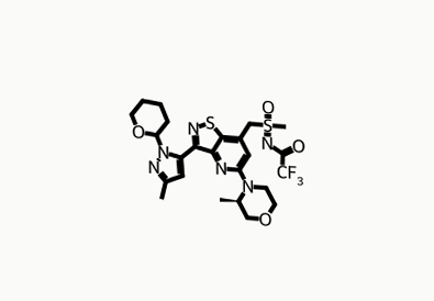 Cc1cc(-c2nsc3c(CS(C)(=O)=NC(=O)C(F)(F)F)cc(N4CCOC[C@H]4C)nc23)n(C2CCCCO2)n1